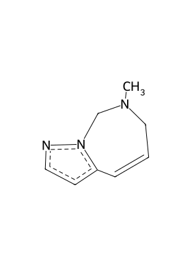 CN1CC=Cc2ccnn2C1